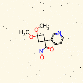 COC1(OC)CC(C(=O)N=O)(c2cccnc2)C1